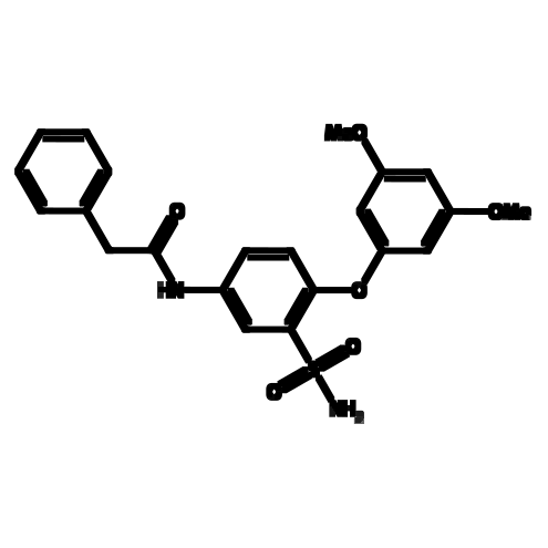 COc1cc(OC)cc(Oc2ccc(NC(=O)Cc3ccccc3)cc2S(N)(=O)=O)c1